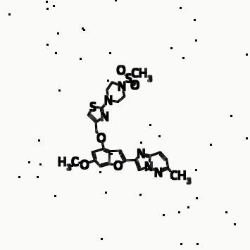 COc1cc(OCc2csc(N3CCN(S(C)(=O)=O)CC3)n2)c2cc(-c3cn4nc(C)ccc4n3)oc2c1